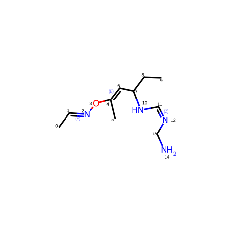 C/C=N/O/C(C)=C/C(CC)N/C=N\CN